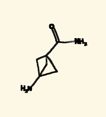 NC(=O)C12CC(N)(C1)C2